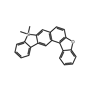 C[Si]1(C)c2ccccc2-c2cc3c(ccc4oc5ccccc5c43)cc21